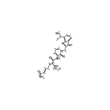 CC(C)(C)C(F)c1cccc2[nH]c(Cn3cccc(NC(=O)[C@H](CC/C=C/C(N)=O)NC(=O)O)c3=O)nc12